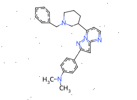 CN(C)c1ccc(-c2cc3nccc(C4CCCN(Cc5ccccc5)C4)n3n2)cc1